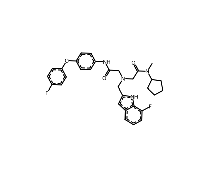 CN(C(=O)CN(CC(=O)Nc1ccc(Oc2ccc(F)cc2)cc1)Cc1cc2cccc(F)c2[nH]1)C1CCCC1